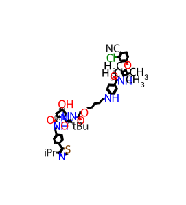 CC(C)c1ncsc1-c1ccc(CNC(=O)[C@@H]2C[C@@H](O)CN2C(=O)[C@@H](NC(=O)COCCCCCNc2ccc(C(=O)N[C@H]3C(C)(C)[C@H](Oc4ccc(C#N)c(Cl)c4)C3(C)C)cc2)C(C)(C)C)cc1